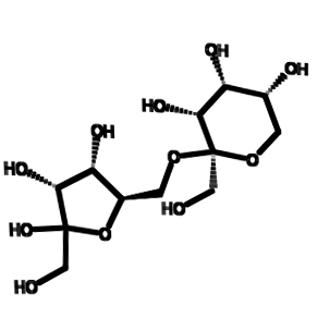 OCC1(O)O[C@H](CO[C@]2(CO)OC[C@@H](O)[C@@H](O)[C@H]2O)[C@@H](O)[C@H]1O